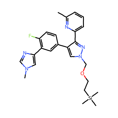 Cc1cccc(-c2nn(COCC[Si](C)(C)C)cc2-c2ccc(F)c(-c3cn(C)cn3)c2)n1